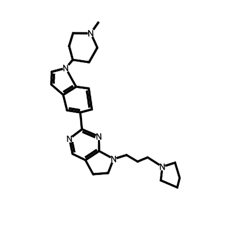 CN1CCC(n2ccc3cc(-c4ncc5c(n4)N(CCCN4CCCC4)CC5)ccc32)CC1